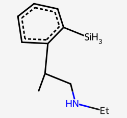 CCNCC(C)c1ccccc1[SiH3]